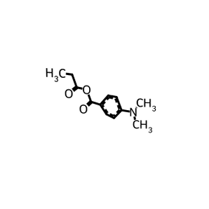 CCC(=O)OC(=O)c1ccc(N(C)C)cc1